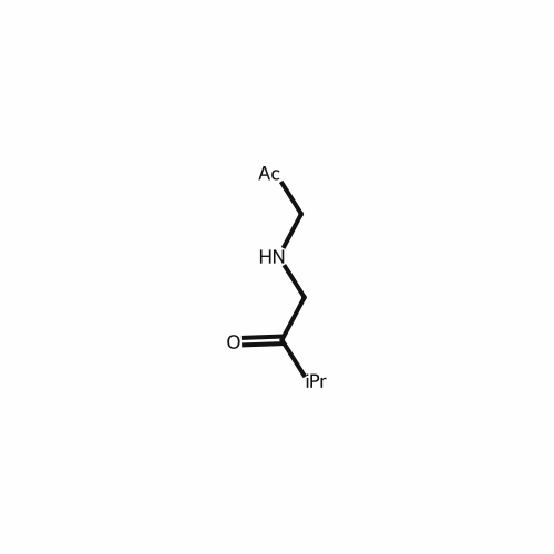 CC(=O)CNCC(=O)C(C)C